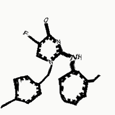 Cc1ccccc1Nc1nc(=O)c(F)cn1Cc1ccc(F)cc1